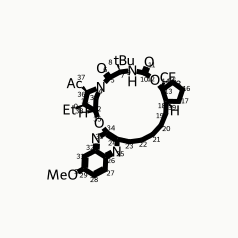 CC[C@@H]1[C@@H]2CN(C(=O)[C@H](C(C)(C)C)NC(=O)O[C@]3(C(F)(F)F)CCC[C@H]3CCCCCc3nc4ccc(OC)cc4nc3O2)[C@@H]1C(C)=O